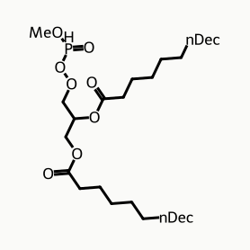 CCCCCCCCCCCCCCCC(=O)OCC(COO[PH](=O)OC)OC(=O)CCCCCCCCCCCCCCC